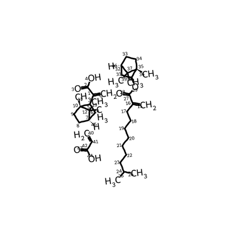 C=C(C(=O)O)C1C[C@H]2CC[C@@]1(C)C2(C)C.C=C(CCCCCCCC(C)C)C(=O)OC1C[C@H]2CC[C@@]1(C)C2(C)C.C=CC(=O)O